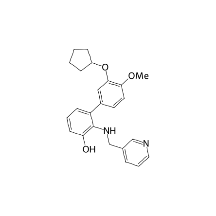 COc1ccc(-c2cccc(O)c2NCc2cccnc2)cc1OC1CCCC1